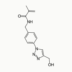 C=C(C)C(=O)NCc1ccc(-n2cc(CO)nn2)cc1